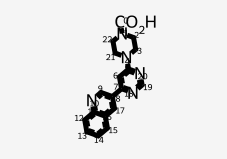 O=C(O)N1CCN(c2cc(-c3cnc4ccccc4c3)ncn2)CC1